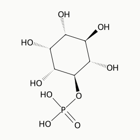 O=P(O)(O)O[C@H]1[C@H](O)[C@H](O)[C@H](O)[C@@H](O)[C@@H]1O